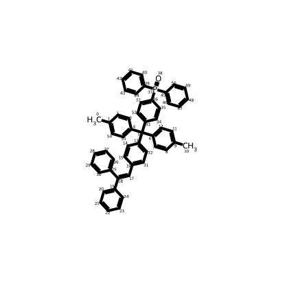 Cc1ccc(C(c2ccc(C)cc2)(c2ccc(C=C(c3ccccc3)c3ccccc3)cc2)c2ccc(P(=O)(c3ccccc3)c3ccccc3)cc2)cc1